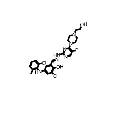 Cc1cccc(Cl)c1Nc1cc(Cl)c(O)c(/C=N/Nc2ncc(F)c(N3CCN(CCO)CC3)n2)c1